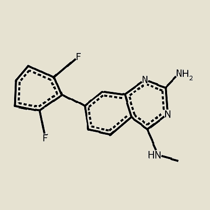 CNc1nc(N)nc2cc(-c3c(F)cccc3F)ccc12